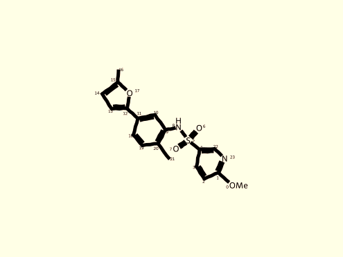 COc1ccc(S(=O)(=O)Nc2cc(-c3ccc(C)o3)ccc2C)cn1